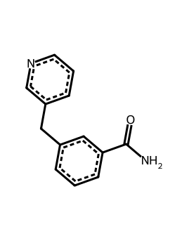 NC(=O)c1cccc(Cc2cccnc2)c1